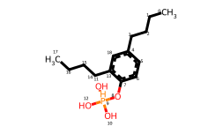 CCCCc1ccc(O[PH](O)(O)O)c(CCCC)c1